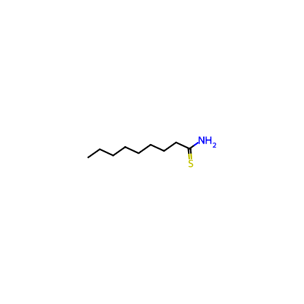 CCCCCCCCC(N)=S